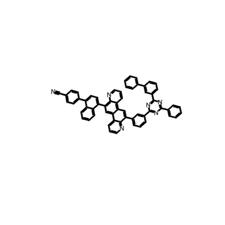 N#Cc1ccc(-c2ccc(-c3cc4c5cccnc5c(-c5cccc(-c6nc(-c7ccccc7)nc(-c7cccc(-c8ccccc8)c7)n6)c5)cc4c4cccnc34)c3ccccc23)cc1